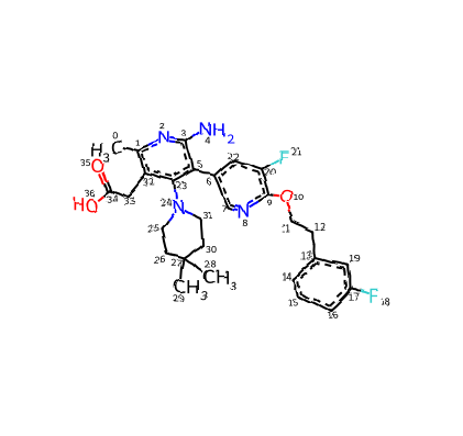 Cc1nc(N)c(-c2cnc(OCCc3cccc(F)c3)c(F)c2)c(N2CCC(C)(C)CC2)c1CC(=O)O